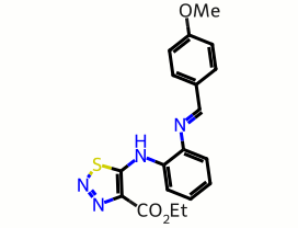 CCOC(=O)c1nnsc1Nc1ccccc1/N=C/c1ccc(OC)cc1